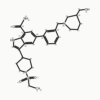 CCS(=O)(=O)N1CCC(c2c[nH]c3c(C(N)=O)cc(-c4cccc(CN5CCCC(CO)C5)c4)cc23)CC1